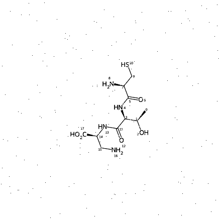 C[C@@H](O)[C@H](NC(=O)[C@@H](N)CS)C(=O)N[C@@H](CN)C(=O)O